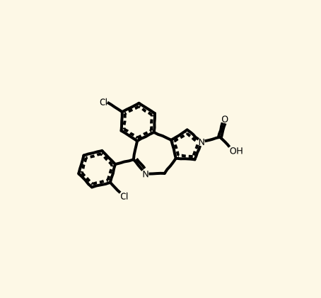 O=C(O)n1cc2c(c1)-c1ccc(Cl)cc1C(c1ccccc1Cl)=NC2